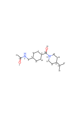 CC(=O)NCC1CCC(C(=O)N2CCC(C(C)C)CC2)CC1